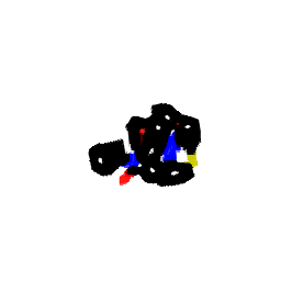 O=C1c2cccc(C3(N4c5ccccc5Sc5ccccc54)c4ccccc4-c4ccccc43)c2C(=O)N1c1ccccc1